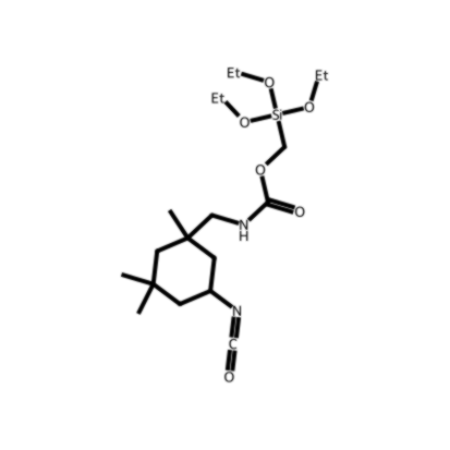 CCO[Si](COC(=O)NCC1(C)CC(N=C=O)CC(C)(C)C1)(OCC)OCC